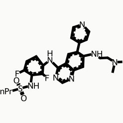 CCCS(=O)(=O)Nc1c(F)ccc(Nc2ncnc3cc(NCCN(C)C)c(-c4ccncc4)cc23)c1F